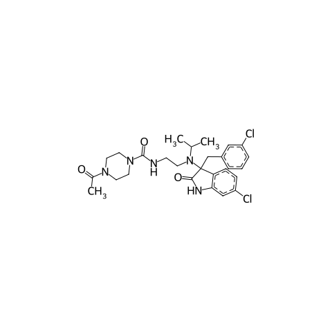 CC(=O)N1CCN(C(=O)NCCN(C(C)C)C2(Cc3cccc(Cl)c3)C(=O)Nc3cc(Cl)ccc32)CC1